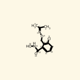 CC(C)=NOCc1c(Cl)cccc1C(=O)NO